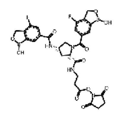 O=C(CCNC(=O)[C@@H]1C[C@H](NC(=O)c2cc(F)c3c(c2)B(O)OC3)CN1C(=O)c1cc(F)c2c(c1)B(O)OC2)ON1C(=O)CCC1=O